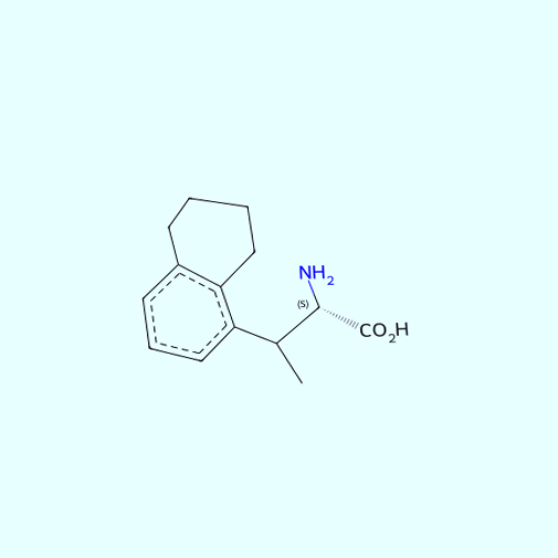 CC(c1cccc2c1CCCC2)[C@H](N)C(=O)O